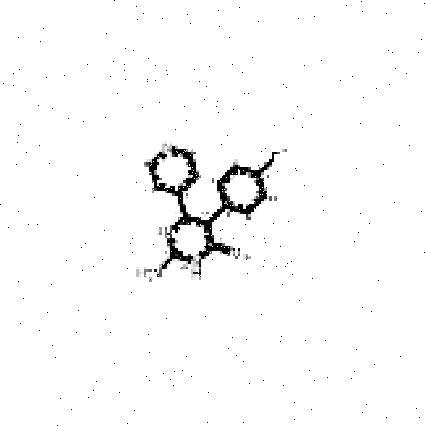 Nc1nc(-c2ccncc2)c(-c2ccc(F)cc2)c(=O)[nH]1